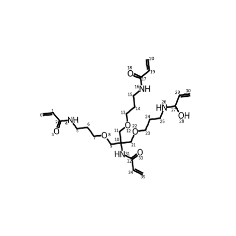 C=CC(=O)NCCCOCC(COCCCNC(=O)C=C)(COCCCNC(O)C=C)NC(=O)C=C